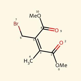 COC(=O)/C(C)=C(/CBr)C(=O)OC